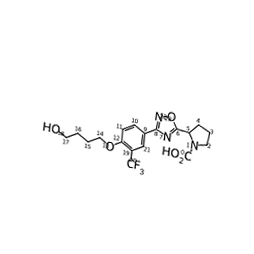 O=C(O)N1CCCC1c1nc(-c2ccc(OCCCCO)c(C(F)(F)F)c2)no1